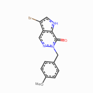 COc1ccc(Cn2ncc3c(Br)c[nH]c3c2=O)cc1